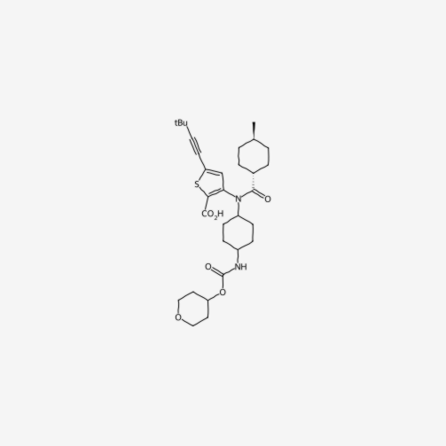 CC(C)(C)C#Cc1cc(N(C(=O)[C@H]2CC[C@H](C)CC2)C2CCC(NC(=O)OC3CCOCC3)CC2)c(C(=O)O)s1